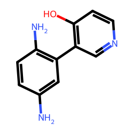 Nc1ccc(N)c(-c2cnccc2O)c1